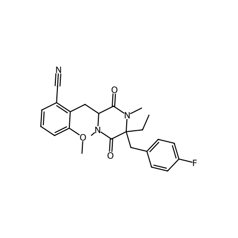 CCC1(Cc2ccc(F)cc2)C(=O)N(C)C(Cc2c(C#N)cccc2OC)C(=O)N1C